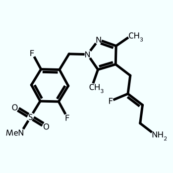 CNS(=O)(=O)c1cc(F)c(Cn2nc(C)c(CC(F)=CCN)c2C)cc1F